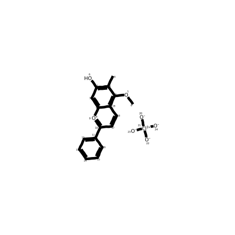 COc1c(C)c(O)cc2[o+]c(-c3ccccc3)ccc12.[O-][Cl+3]([O-])([O-])[O-]